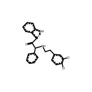 O=C(c1c[nH]c2ccccc12)C(NCCc1ccc(Cl)c(Cl)c1)c1ccccc1